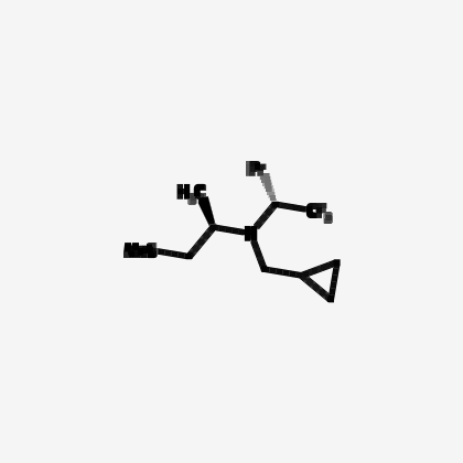 CSC[C@@H](C)N(CC1CC1)[C@H](C(C)C)C(F)(F)F